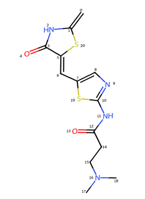 C=c1[nH]c(=O)/c(=C/c2cnc(NC(=O)CCN(C)C)s2)s1